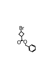 O=C(OCc1ccccc1)C1CC(Br)C1